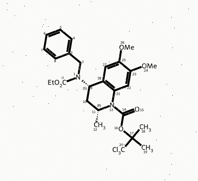 CCOC(=O)N(Cc1ccccc1)[C@H]1C[C@@H](C)N(C(=O)OC(C)(C)C(Cl)(Cl)Cl)c2cc(OC)c(OC)cc21